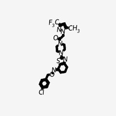 Cc1cc(C(F)(F)F)nn1CC(=O)N1CCN(c2nc3c(s2)C(=NOCc2ccc(Cl)cc2)CCC3)CC1